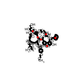 CC[C@H](CC(C)C)C(=O)N[C@H]1C(=O)C[C@@H](CC(=O)NS(=O)(=O)c2ccc(OCCOC)cc2)C(=O)N[C@H]2C(=O)C[C@H]3C(=O)N[C@H](C(=O)N[C@H](C(=O)CC4C5CC6CC(C5)CC4C6)c4cc(O)cc(O)c4-c4cc3ccc4O)[C@H](O)c3ccc(c(Cl)c3)Oc3cc2cc(c3O[C@@H]2O[C@H](CO)[C@@H](O)[C@H](O)[C@H]2O)Oc2ccc(cc2Cl)[C@H]1O